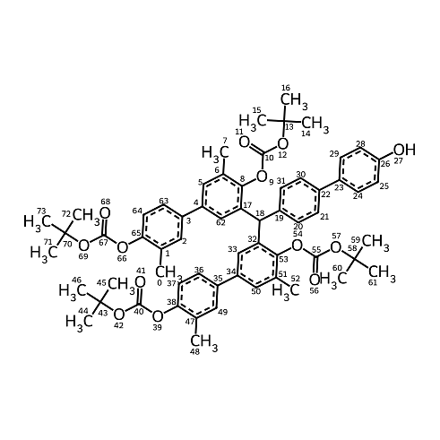 Cc1cc(-c2cc(C)c(OC(=O)OC(C)(C)C)c(C(c3ccc(-c4ccc(O)cc4)cc3)c3cc(-c4ccc(OC(=O)OC(C)(C)C)c(C)c4)cc(C)c3OC(=O)OC(C)(C)C)c2)ccc1OC(=O)OC(C)(C)C